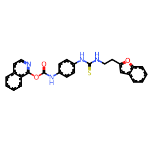 O=C(Nc1ccc(NC(=S)NCCc2cc3ccccc3o2)cc1)Oc1nccc2ccccc12